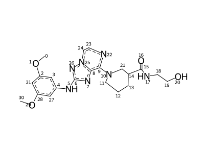 COc1cc(Nc2nc3c(N4CCCC(C(=O)NCCO)C4)nccn3n2)cc(OC)c1